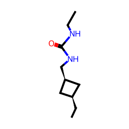 CCNC(=O)NC[C@H]1C[C@@H](CC)C1